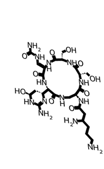 NCCCC(N)CC(=O)N[C@H]1CNC(=O)[C@H]([C@H]2C[C@H](O)NC(N)=N2)NC(=O)/C(=C/NC(N)=O)NC(=O)[C@H](CO)NC(=O)[C@H](CO)NC1=O